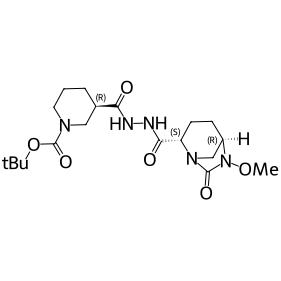 CON1C(=O)N2C[C@H]1CC[C@H]2C(=O)NNC(=O)[C@@H]1CCCN(C(=O)OC(C)(C)C)C1